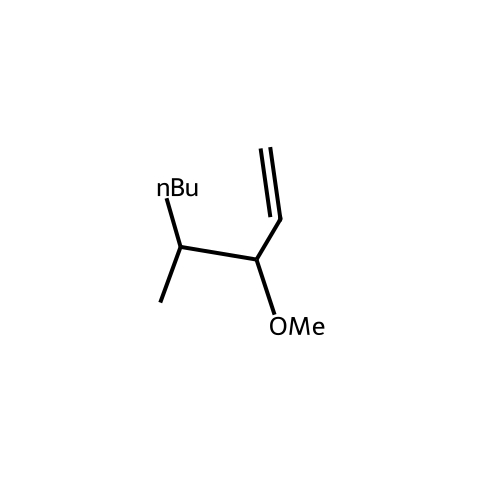 C=CC(OC)C(C)CCCC